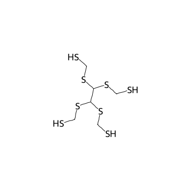 SCSC(SCS)C(SCS)SCS